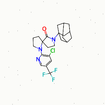 O=C1N(C23CC4CC(CC(C4)C2)C3)CCC12CCCN2c1ncc(C(F)(F)F)cc1Cl